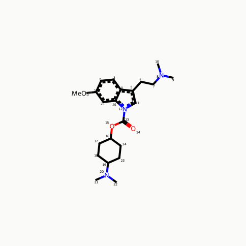 COc1ccc2c(CCN(C)C)cn(C(=O)OC3CCC(N(C)C)CC3)c2c1